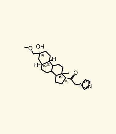 COC[C@@]1(O)CC[C@@H]2C3CC[C@@]4(C)C(CC[C@@H]4C(=O)Cn4ccnc4)C3CC[C@H]2C1